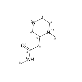 CNC(=O)CC1C[N]CCN1C